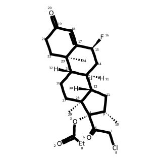 CCC(=O)O[C@@]1(C(=O)CCl)[C@@H](C)C[C@H]2[C@@H]3C[C@H](F)C4=CC(=O)CC[C@]4(C)[C@H]3CC[C@@]21C